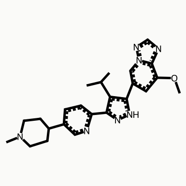 COc1cc(-c2[nH]nc(-c3ccc(C4CCN(C)CC4)cn3)c2C(C)C)cn2ncnc12